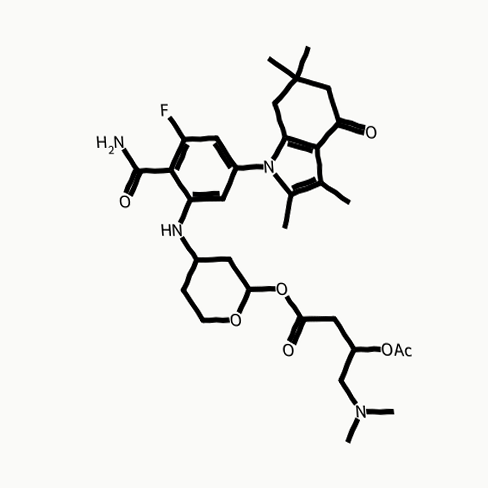 CC(=O)OC(CC(=O)OC1CC(Nc2cc(-n3c(C)c(C)c4c3CC(C)(C)CC4=O)cc(F)c2C(N)=O)CCO1)CN(C)C